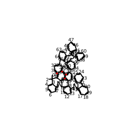 CC1(C)c2ccccc2N(c2cccc(-n3c4ccccc4c4ccccc43)c2-c2cccc(-c3cccc4c3sc3c([Si](c5ccccc5)(c5ccccc5)c5ccccc5)cccc34)c2)c2ccccc21